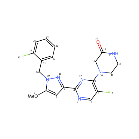 COc1cc(-c2ncc(F)c(N3CCNC(=O)C3)n2)nn1Cc1ccccc1F